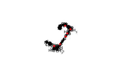 Cc1ncsc1-c1ccc(CNC(=O)[C@@H]2C[C@@H](O)CN2C(=O)[C@@H](NC(=O)CCOCCOCCOCCOCCC(=O)NCCN(C)C(=O)c2ccc(-c3cc(C(=O)N[C@@H]4CCc5ccccc54)no3)cc2O)C(C)(C)C)cc1